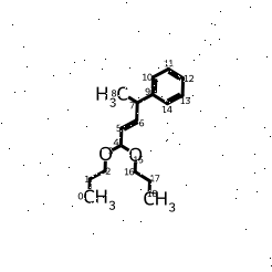 CCCOC(C=CC(C)c1ccccc1)OCCC